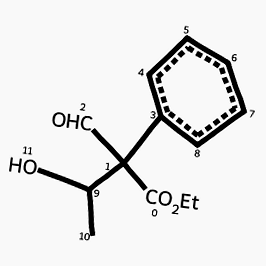 CCOC(=O)C(C=O)(c1ccccc1)C(C)O